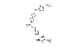 O=C(N1CC2(CC(c3nc(C4CC4)n[nH]3)C2)C1)N1CC2(CN(Cc3nc(CC(F)(F)F)no3)C2)C1